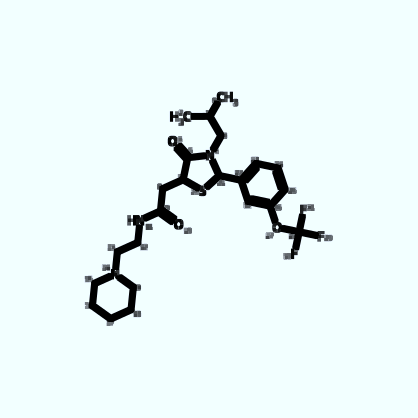 CC(C)CN1C(=O)C(CC(=O)NCCN2CCCCC2)SC1c1cccc(OC(F)(F)F)c1